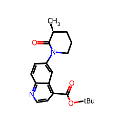 C[C@H]1CCCN(c2ccc3nccc(C(=O)OC(C)(C)C)c3c2)C1=O